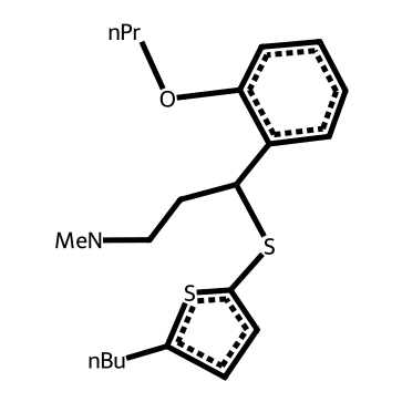 CCCCc1ccc(SC(CCNC)c2ccccc2OCCC)s1